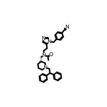 CC(=O)N(CCc1cncn1Cc1ccc(C#N)cc1)C[C@H]1CCCN(CC(c2ccccc2)c2ccccc2)C1